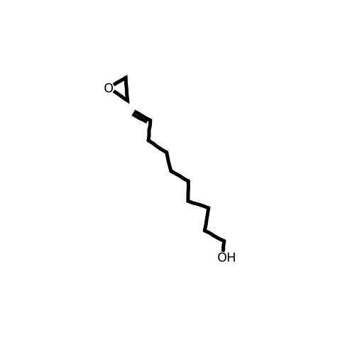 C1CO1.C=CCCCCCCCCO